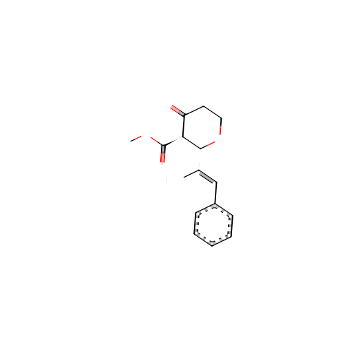 COC(=O)[C@H]1C(=O)CCO[C@@H]1/C(C)=C/c1ccccc1